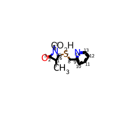 CC1C(=O)N(C(=O)O)[C@H]1SCc1ccccn1